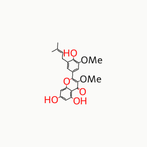 COc1cc(-c2oc3cc(O)cc(O)c3c(=O)c2OC)cc(CC=C(C)C)c1O